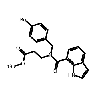 CC(C)(C)OC(=O)CCN(Cc1ccc(C(C)(C)C)cc1)C(=O)c1cccc2cc[nH]c12